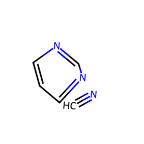 C#N.c1cncnc1